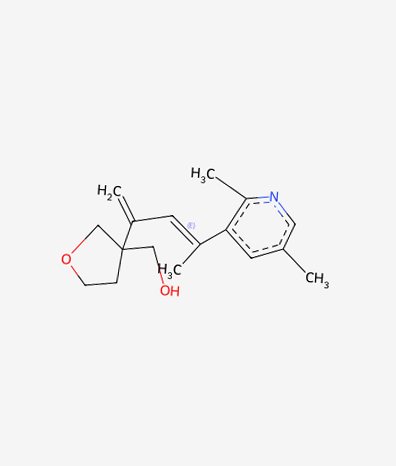 C=C(/C=C(\C)c1cc(C)cnc1C)C1(CO)CCOC1